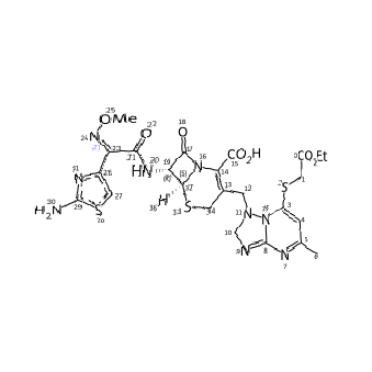 CCOC(=O)CSC1=CC(C)=NC2=NCN(CC3=C(C(=O)O)N4C(=O)[C@@H](NC(=O)/C(=N\OC)c5csc(N)n5)[C@@H]4SC3)N12